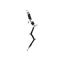 O=C=NCCI